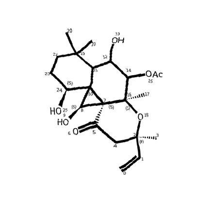 C=C[C@@]1(C)CC(=O)[C@]23[C@@H](O)C24C(C(O)C(OC(C)=O)[C@@]3(C)O1)C(C)(C)CC[C@@H]4O